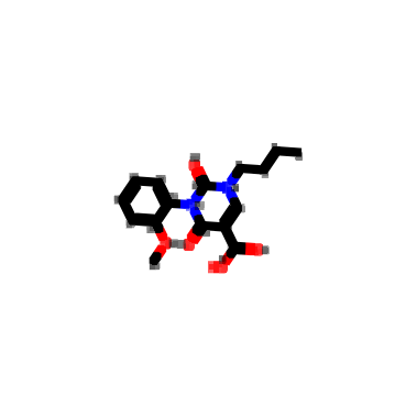 CCCCn1cc(C(=O)O)c(=O)n(-c2ccccc2OC)c1=O